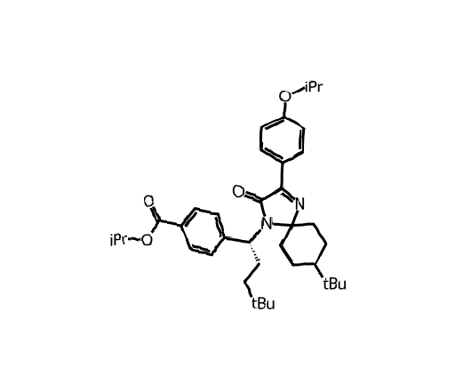 CC(C)OC(=O)c1ccc([C@@H](CCC(C)(C)C)N2C(=O)C(c3ccc(OC(C)C)cc3)=NC23CCC(C(C)(C)C)CC3)cc1